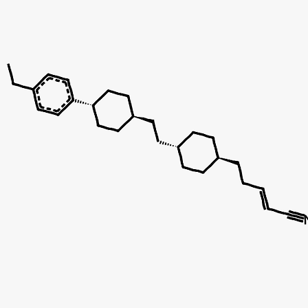 CCc1ccc([C@H]2CC[C@H](CC[C@H]3CC[C@H](CCC=CC#N)CC3)CC2)cc1